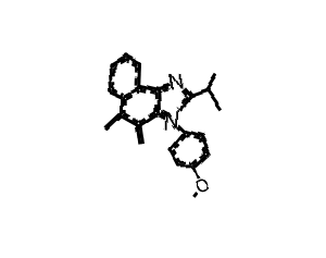 C=c1c(=C)c2c(nc(C(C)C)n2-c2ccc(OC)cc2)c2ccccc12